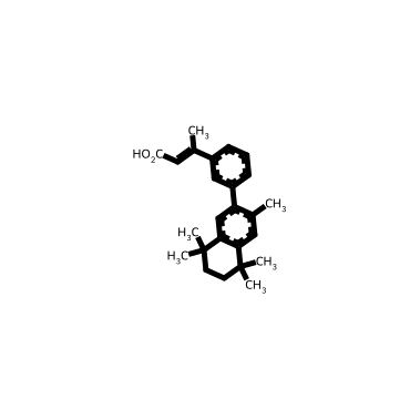 CC(=CC(=O)O)c1cccc(-c2cc3c(cc2C)C(C)(C)CCC3(C)C)c1